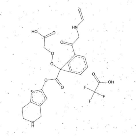 O=C(O)C(F)(F)F.O=CNCC(=O)c1cccc2c1C2(OOCC(=O)O)C(=O)Oc1cc2c(s1)CCNC2